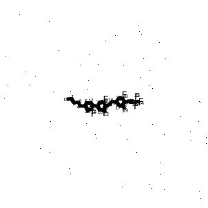 C/C=C/CCc1ccc(-c2cc(F)c(CCc3cc(F)c(C#CC(F)(F)F)c(F)c3)c(F)c2)c(F)c1